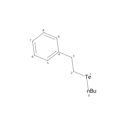 CCCC[Te]CCc1ccccc1